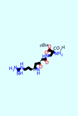 CCCCOC(=O)[C@](N)(CNC(=O)C[C@H]1C[C@H](CCCNC(=N)N)NO1)C(=O)O